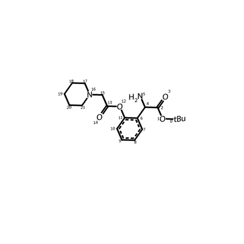 CC(C)(C)OC(=O)C(N)c1ccccc1OC(=O)CN1CCCCC1